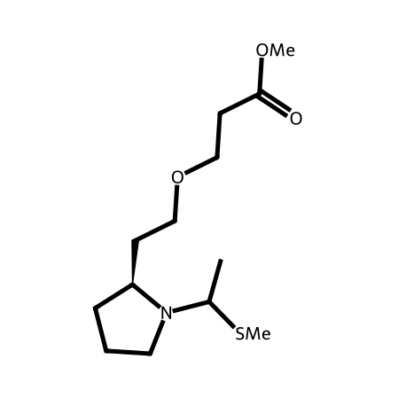 COC(=O)CCOCC[C@@H]1CCCN1C(C)SC